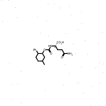 CC1CCC(C(C)C)C(OC(=O)N[C@@H](CCC(N)=O)C(=O)O)C1